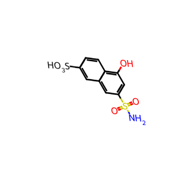 NS(=O)(=O)c1cc(O)c2ccc(S(=O)(=O)O)cc2c1